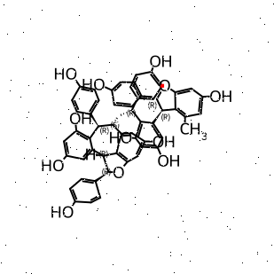 Cc1cc(O)cc2c1[C@@H](c1cc(O)cc(O)c1[C@H](C[C@@H]1c3cc(O)cc4c3[C@@H](c3cc(O)cc(O)c3[C@H]1c1ccc(O)cc1)[C@H](c1ccc(O)cc1)O4)c1ccc(O)cc1)[C@H](c1ccc(O)cc1)O2